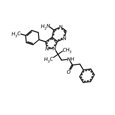 CC1=CCC(c2nn(C(C)(C)CNC(=O)Cc3ccccc3)c3ncnc(N)c23)C=C1